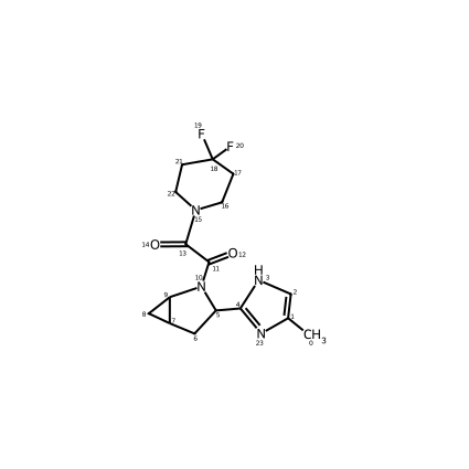 Cc1c[nH]c(C2CC3CC3N2C(=O)C(=O)N2CCC(F)(F)CC2)n1